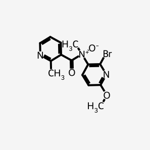 COc1ccc([N+](C)([O-])C(=O)c2cccnc2C)c(Br)n1